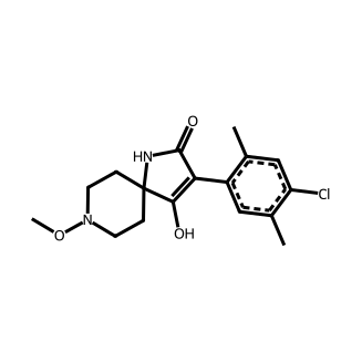 CON1CCC2(CC1)NC(=O)C(c1cc(C)c(Cl)cc1C)=C2O